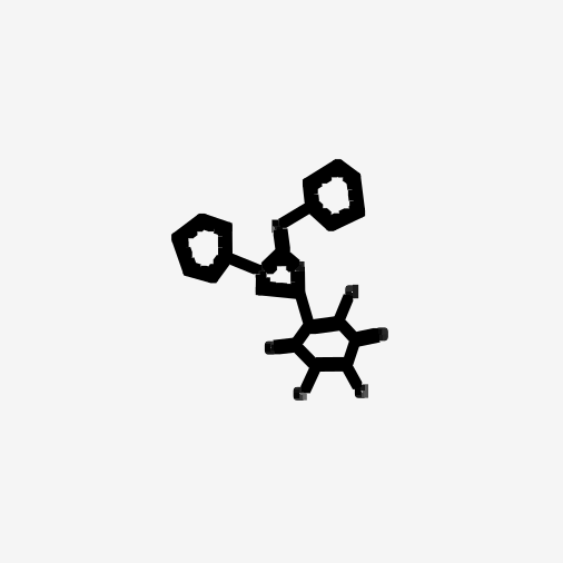 O=C1C(Cl)=C(Cl)C(=O)C(c2cn(-c3ccccc3)c(=Nc3ccccc3)s2)=C1Cl